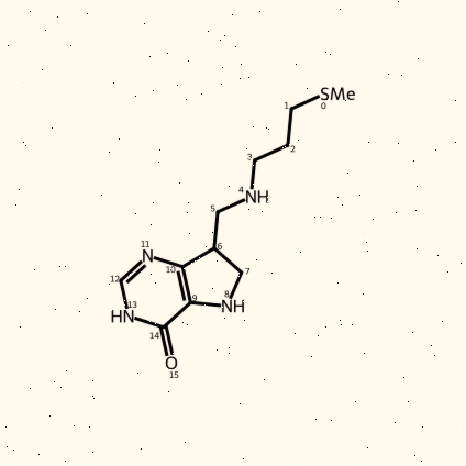 CSCCCNCC1CNc2c1nc[nH]c2=O